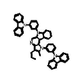 C/C=C\c1c(C)n(-c2cccc(-n3c4ccccc4c4ccccc43)c2)c2c1ncc1c2c2ccccc2n1-c1cccc(-n2c3ccccc3c3ccccc32)c1